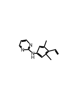 C=Cc1c(C)cc(Nc2ncccn2)cc1C